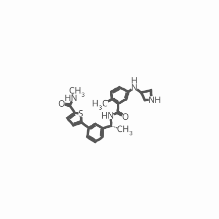 CNC(=O)c1ccc(-c2cccc([C@@H](C)NC(=O)c3cc(NC4CNC4)ccc3C)c2)s1